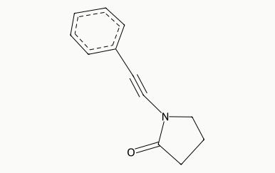 O=C1CCCN1C#Cc1ccccc1